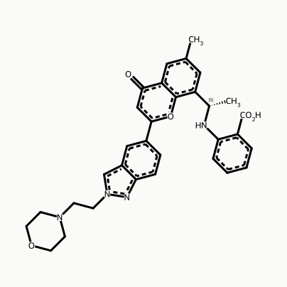 Cc1cc([C@H](C)Nc2ccccc2C(=O)O)c2oc(-c3ccc4nn(CCN5CCOCC5)cc4c3)cc(=O)c2c1